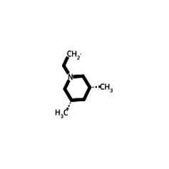 [CH2]CN1C[C@H](C)C[C@H](C)C1